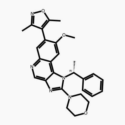 COc1cc2c(cc1-c1c(C)noc1C)ncc1nc(N3CCOCC3)n([C@H](C)c3ccccc3)c12